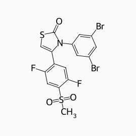 CS(=O)(=O)c1cc(F)c(-c2csc(=O)n2-c2cc(Br)cc(Br)c2)cc1F